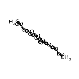 C=CC(=O)OCCCCOc1ccc(COc2ccc(C(=O)Oc3ccc(OC(=O)c4ccc(OC(=O)c5ccc(OCCCCOC(=O)C=C)cc5)cc4)cc3C)cc2)cc1